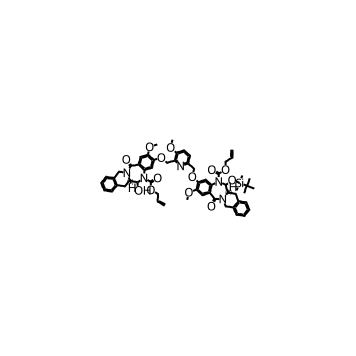 C=CCOC(=O)N1c2cc(OCc3nc(COc4cc5c(cc4OC)C(=O)N4Cc6ccccc6C[C@H]4C(O[Si](C)(C)C(C)(C)C)N5C(=O)OCC=C)ccc3OC)c(OC)cc2C(=O)N2Cc3ccccc3C[C@H]2C1O